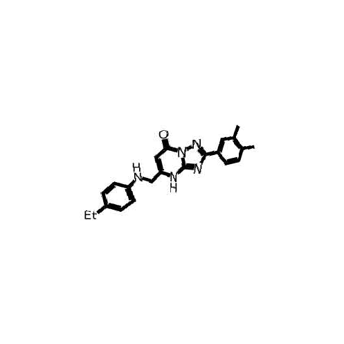 CCc1ccc(NCc2cc(=O)n3nc(-c4ccc(C)c(C)c4)nc3[nH]2)cc1